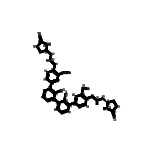 COc1nc(-c2cccc(-c3cccc(-c4cnc(CNC[C@@H]5CCC(=O)N5)c(OC)n4)c3Cl)c2Cl)cnc1CNCC1COC(=O)N1